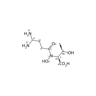 C[C@@H](O)[C@@H](C(=O)O)N(O)C(=O)CCC(N)N